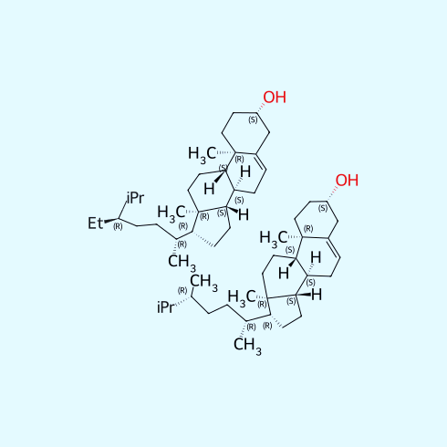 CC(C)[C@H](C)CC[C@@H](C)[C@H]1CC[C@H]2[C@@H]3CC=C4C[C@@H](O)CC[C@]4(C)[C@H]3CC[C@]12C.CC[C@H](CC[C@@H](C)[C@H]1CC[C@H]2[C@@H]3CC=C4C[C@@H](O)CC[C@]4(C)[C@H]3CC[C@]12C)C(C)C